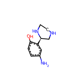 Nc1ccc(O)c([C@@H]2CNCCN2)c1